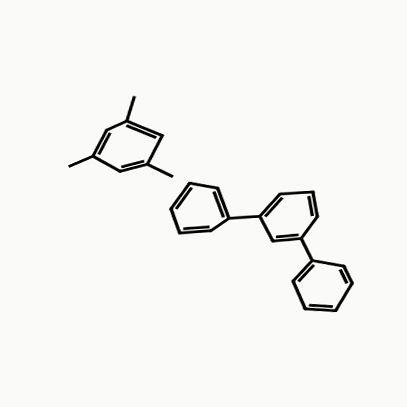 Cc1cc(C)cc(C)c1.c1ccc(-c2cccc(-c3ccccc3)c2)cc1